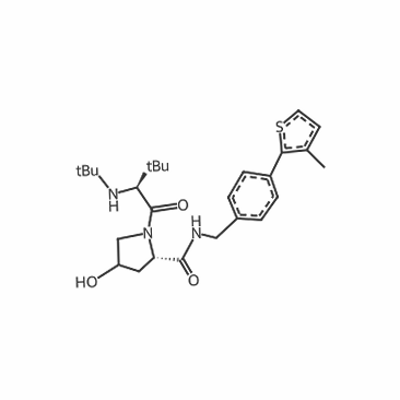 Cc1ccsc1-c1ccc(CNC(=O)[C@@H]2CC(O)CN2C(=O)[C@@H](NC(C)(C)C)C(C)(C)C)cc1